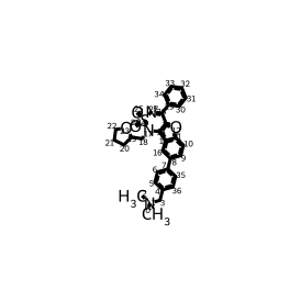 CN(C)Cc1ccc(-c2ccc3oc4c(c3c2)N(CC2CCCO2)S(=O)(=O)N=C4c2ccccc2)cc1